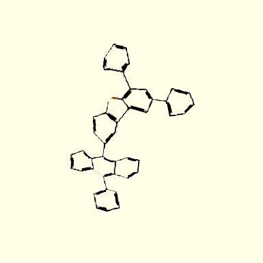 c1ccc(-c2cc(-c3ccccc3)c3sc4ccc(-c5c6ccccc6c(-c6ccccc6)c6ccccc56)cc4c3c2)cc1